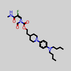 CCCCN(CCCC)c1ccc(N2CCC(CCOC(=O)N(C=O)/C=C(/F)C(=O)NC)CC2)cc1